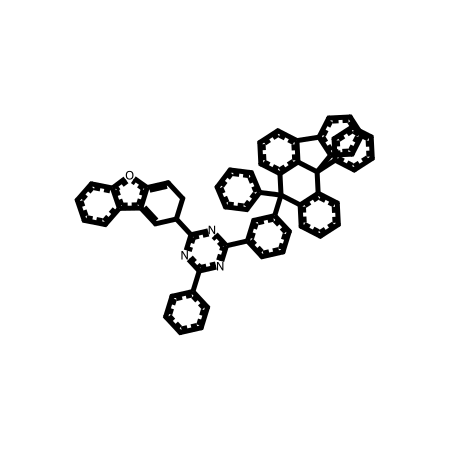 C1=c2oc3ccccc3c2=CC(c2nc(-c3ccccc3)nc(-c3cccc(C4(c5ccccc5)c5ccccc5C5(c6ccccc6)c6ccccc6-c6cccc4c65)c3)n2)C1